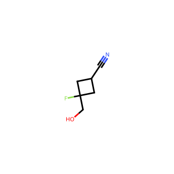 N#CC1CC(F)(CO)C1